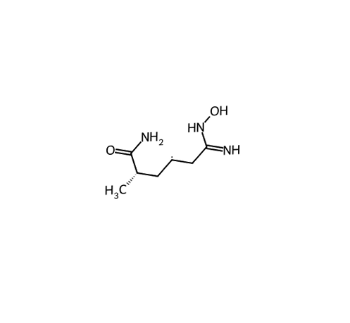 C[C@@H](C[CH]CC(=N)NO)C(N)=O